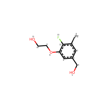 CC(C)c1cc(CO)cc(OCCO)c1F